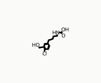 O=C(O)NCCCCc1ccc(Cl)c(CO)c1